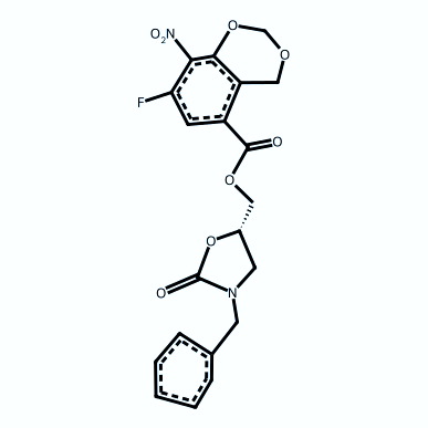 O=C(OC[C@@H]1CN(Cc2ccccc2)C(=O)O1)c1cc(F)c([N+](=O)[O-])c2c1COCO2